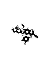 CCOc1cc2ncc(C#N)c(Nc3ccc(F)c(Cl)c3)c2cc1NC(=O)CC1CCSS1(=O)=O